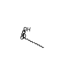 CCCCCCCCCCCCCCCCCCS(=O)(=O)N(C)c1ccc(O)cc1